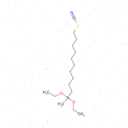 CCO[Si](C)(CCCCCCCCCCSC#N)OCC